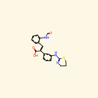 O=CNc1ccccc1C=C(C(=O)O)c1cccc(NC2=NCCCS2)c1